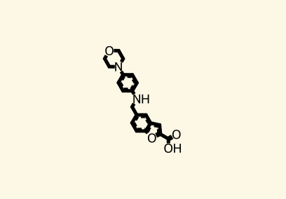 O=C(O)c1cc2cc(CNc3ccc(N4CCOCC4)cc3)ccc2o1